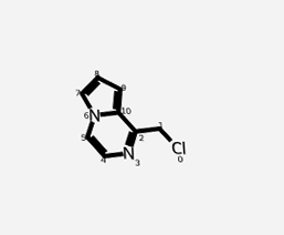 ClCc1nccn2cccc12